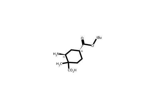 CC(C)(C)OC(=O)[C@@H]1CCC(C)(C(=O)O)[C@@H](N)C1